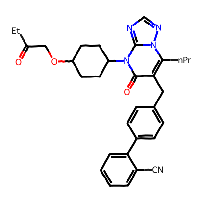 CCCc1c(Cc2ccc(-c3ccccc3C#N)cc2)c(=O)n(C2CCC(OCC(=O)CC)CC2)c2ncnn12